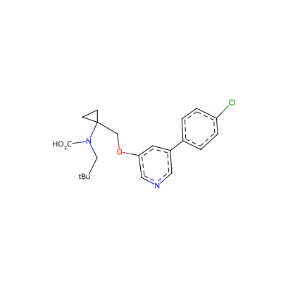 CC(C)(C)CN(C(=O)O)C1(COc2cncc(-c3ccc(Cl)cc3)c2)CC1